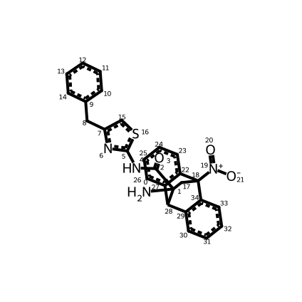 NC1(C(=O)Nc2nc(Cc3ccccc3)cs2)CC2([N+](=O)[O-])c3ccccc3C1c1ccccc12